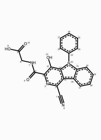 N#Cc1nc(C(=O)NCC(=O)O)c(O)c2c1c1ccccc1n2-c1ccccc1